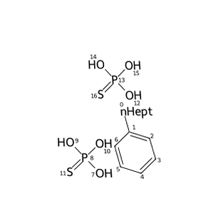 CCCCCCCc1ccccc1.OP(O)(O)=S.OP(O)(O)=S